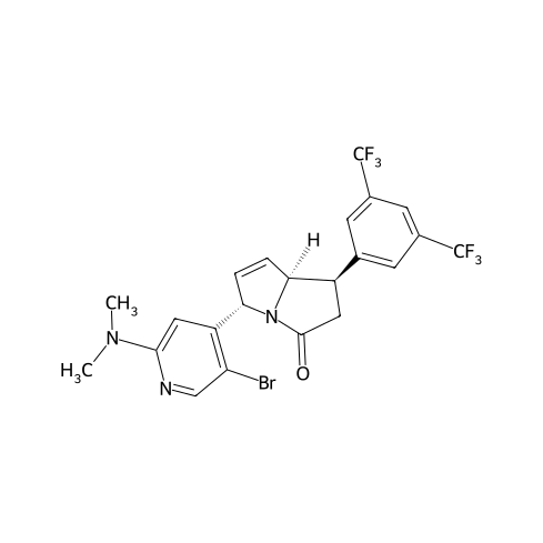 CN(C)c1cc([C@@H]2C=C[C@H]3[C@@H](c4cc(C(F)(F)F)cc(C(F)(F)F)c4)CC(=O)N23)c(Br)cn1